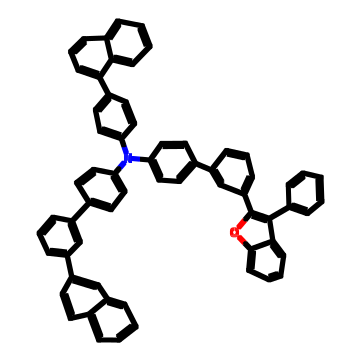 c1ccc(-c2c(-c3cccc(-c4ccc(N(c5ccc(-c6cccc(-c7ccc8ccccc8c7)c6)cc5)c5ccc(-c6cccc7ccccc67)cc5)cc4)c3)oc3ccccc23)cc1